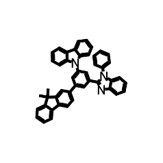 CC1(C)c2ccccc2-c2ccc(-c3cc(-c4nc5ccccc5n4-c4ccccc4)cc(-n4c5ccccc5c5ccccc54)c3)cc21